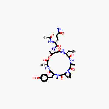 C=CN1C(=O)C(=C)NC(=O)[C@H](CC(C)C)NC(=O)[C@@H](NC(=O)[C@H](CCC(N)=O)NC(=O)C(C)CC)C(C)OC(=O)[C@H](C(C)CC)NC(=O)C(Cc2ccc(O)cc2)N(C)C(=O)C1C(C)CC